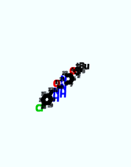 CC(C)(C)[Si](C)(C)Oc1ccc(NC(=O)NCc2ccc(Cl)cc2)nc1